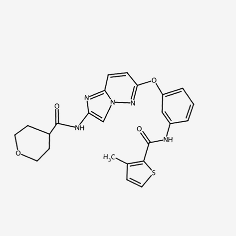 Cc1ccsc1C(=O)Nc1cccc(Oc2ccc3nc(NC(=O)C4CCOCC4)cn3n2)c1